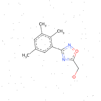 Cc1cc(C)c(C)c(-c2noc(C[O])n2)c1